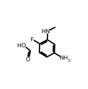 CNc1cc(N)ccc1F.O=CO